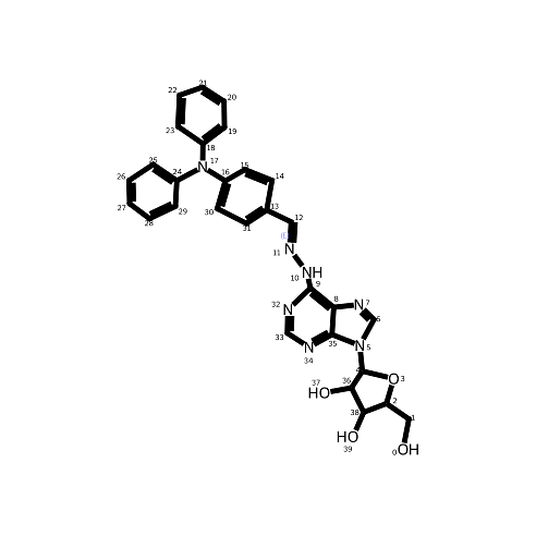 OCC1OC(n2cnc3c(N/N=C/c4ccc(N(c5ccccc5)c5ccccc5)cc4)ncnc32)C(O)C1O